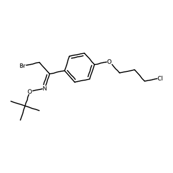 CC(C)(C)ON=C(CBr)c1ccc(OCCCCl)cc1